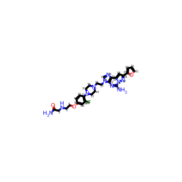 NC(=O)CNCCOc1ccc(N2CCN(CCn3cnc4c3nc(N)n3nc(-c5ccco5)cc43)CC2)c(F)c1